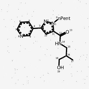 CCCCCn1nc(-c2cccnc2)cc1C(=O)NCC(C)CO